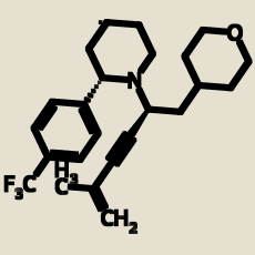 C=C(C)C#C[C@H](CC1CCOCC1)N1CC[CH]C[C@H]1c1ccc(C(F)(F)F)cc1